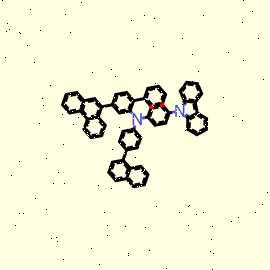 c1ccc(-c2ccc(-c3cc4ccccc4c4ccccc34)cc2N(c2ccc(-c3cccc4ccccc34)cc2)c2ccc(-n3c4ccccc4c4ccccc43)cc2)cc1